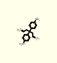 C=CCC(CC=C)(c1ccc(N)cc1)c1ccc(N)cc1